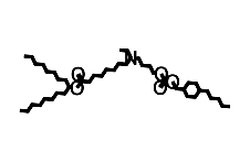 CCCCCCCCC(CCCCCCCC)OC(=O)CCCCCCCN(CC)CCCCOC(=O)OCC1CCC(CCCCC)CC1